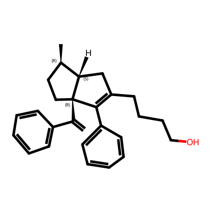 C=C(c1ccccc1)[C@@]12CC[C@@H](C)[C@@H]1CC(CCCCO)=C2c1ccccc1